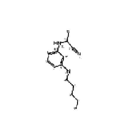 CCCCCNc1cccc(NC(C)C#N)c1